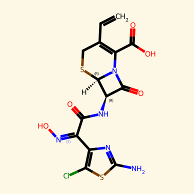 C=CC1=C(C(=O)O)N2C(=O)[C@@H](NC(=O)/C(=N\O)c3nc(N)sc3Cl)[C@H]2SC1